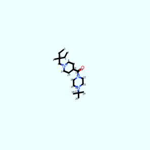 CCC(C)(CC)CN1CCC(C(=O)N2CCN(C(C)(C)C)CC2)CC1